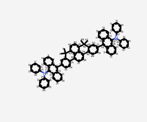 CC1(C)c2cc(-c3c4ccccc4c(N(c4ccccc4)c4ccccc4)c4ccccc34)ccc2-c2ccc3c4c(ccc1c24)C(C)(C)c1cc(-c2c4ccccc4c(N(c4ccccc4)c4ccccc4)c4ccccc24)ccc1-3